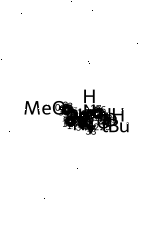 COc1ccc(CN(c2ccccc2)c2cc(NC3CCC(NC(=O)OC(C)(C)C)CC3)nn3c(C4CC4)cnc23)cc1